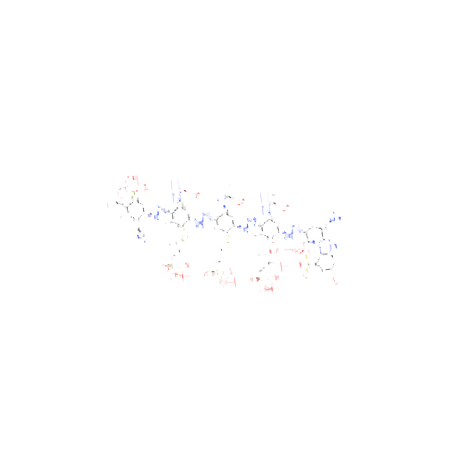 COc1cc(S(=O)(=O)O)c2c(c1)nc1c(C#N)c(C)c(N=Nc3cc(NC(C)=O)c(N=Nc4cc(NC(C)=O)c(N=Nc5cc(NC(C)=O)c(N=Nc6cc(S(=O)(=O)O)c(Cl)cc6C#N)cc5SCCCS(=O)(=O)O)cc4SCCCS(=O)(=O)O)cc3OCCCS(=O)(=O)O)c(O)n12